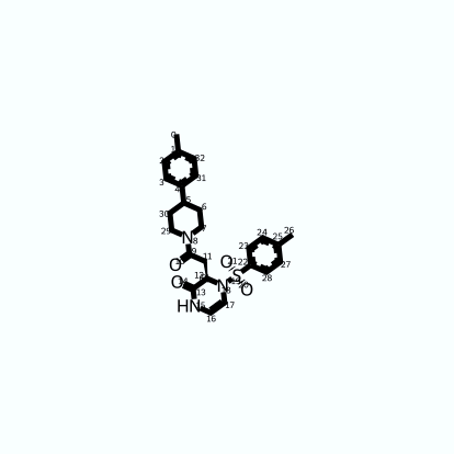 Cc1ccc(C2CCN(C(=O)C[C@@H]3C(=O)NC=CN3S(=O)(=O)c3ccc(C)cc3)CC2)cc1